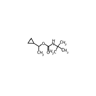 CC(OC(=O)NC(C)(C)C)C1CC1